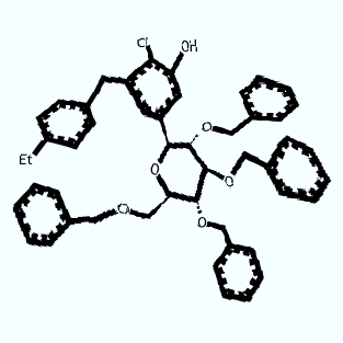 CCc1ccc(Cc2cc([C@@H]3O[C@H](COCc4ccccc4)[C@@H](OCc4ccccc4)[C@H](OCc4ccccc4)[C@H]3OCc3ccccc3)cc(O)c2Cl)cc1